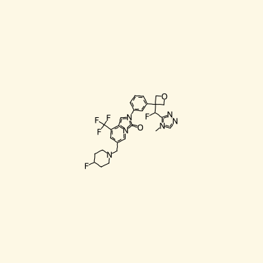 Cn1cnnc1C(F)C1(c2cccc(-n3cc4c(C(F)(F)F)cc(CN5CCC(F)CC5)cn4c3=O)c2)COC1